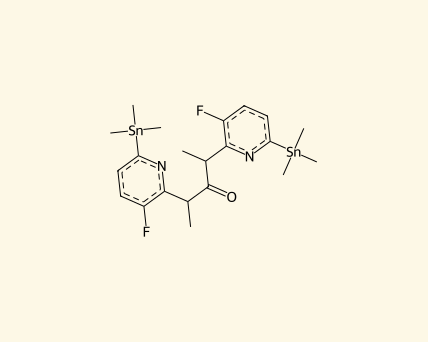 CC(C(=O)C(C)c1n[c]([Sn]([CH3])([CH3])[CH3])ccc1F)c1n[c]([Sn]([CH3])([CH3])[CH3])ccc1F